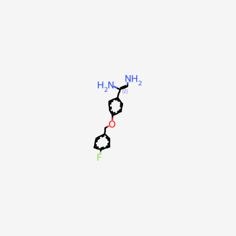 N/C=C(\N)c1ccc(OCc2ccc(F)cc2)cc1